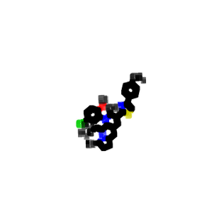 C=C1C(c2nc(-c3ccc(C)cc3)cs2)=CC(CC2CCC(CC)N2)=C(C=C(C)C)N1c1cc(Cl)ccc1OCC